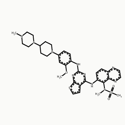 COc1cc(N2CCC(N3CCN(C)CC3)CC2)ccc1Nc1nc(Nc2ccc3nccnc3c2N(C)S(C)(=O)=O)c2ccsc2n1